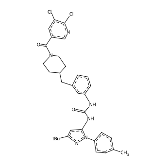 Cc1ccc(-n2nc(C(C)(C)C)cc2NC(=O)Nc2cccc(CC3CCN(C(=O)c4cnc(Cl)c(Cl)c4)CC3)c2)cc1